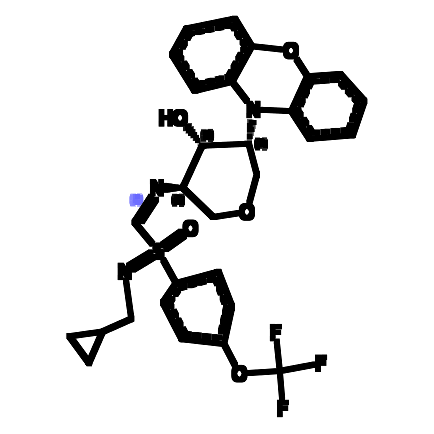 O=S(/C=N\[C@@H]1COC[C@@H](N2c3ccccc3Oc3ccccc32)[C@H]1O)(=NCC1CC1)c1ccc(OC(F)(F)F)cc1